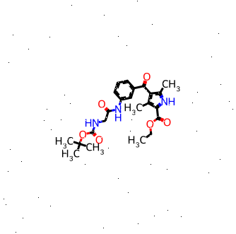 CCOC(=O)c1[nH]c(C)c(C(=O)c2cccc(NC(=O)CNC(=O)OC(C)(C)C)c2)c1C